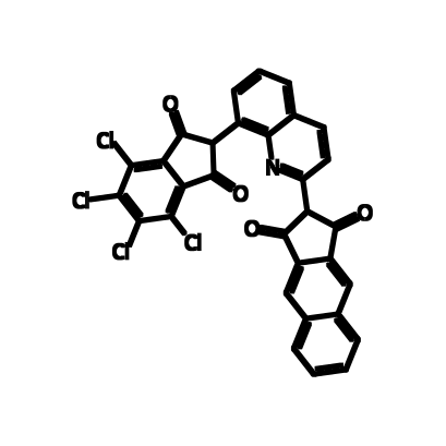 O=C1c2cc3ccccc3cc2C(=O)C1c1ccc2cccc(C3C(=O)c4c(Cl)c(Cl)c(Cl)c(Cl)c4C3=O)c2n1